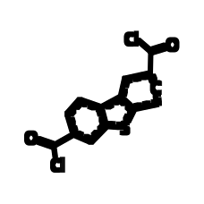 O=C(Cl)c1ccc2c(c1)sc1ccc(C(=O)Cl)cc12